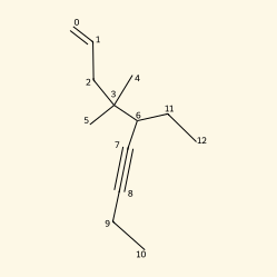 C=CCC(C)(C)C(C#CCC)CC